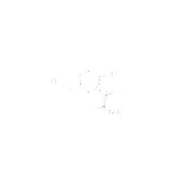 CCC1CCC(C)N(C(=O)C(N)=O)C1